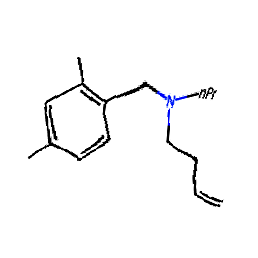 C=CCCN(CCC)Cc1ccc(C)cc1C